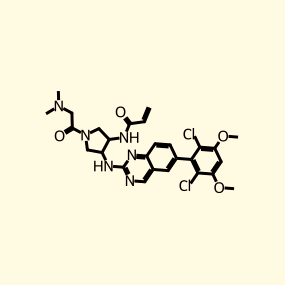 C=CC(=O)NC1CN(C(=O)CN(C)C)CC1Nc1ncc2cc(-c3c(Cl)c(OC)cc(OC)c3Cl)ccc2n1